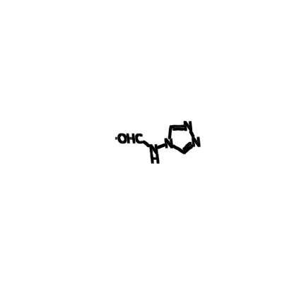 O=[C]Nn1cnnc1